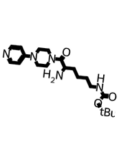 CC(C)(C)OC(=O)NCCCCC(N)C(=O)N1CCN(c2ccncc2)CC1